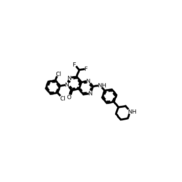 O=c1c2cnc(Nc3ccc(C4CCCNC4)cc3)nc2c(C(F)F)nn1-c1c(Cl)cccc1Cl